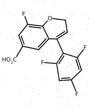 O=C(O)c1cc(F)c2c(c1)C(c1c(F)cc(F)cc1F)=CCO2